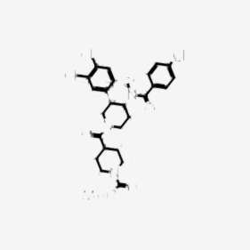 COC(=O)N1CCC(C(=O)N2CC[C@@H](N(C)C(=O)c3ccc(Cl)cc3)[C@H](c3ccc(Cl)c(Cl)c3)C2)CC1